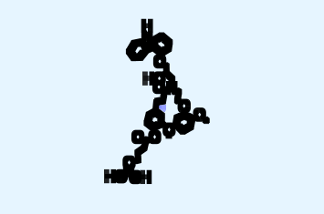 COc1ccccc1OCCN(CC(O)COc1cccc2[nH]c3ccccc3c12)C(=O)/C=C/c1ccc(OC(=O)CCCON(O)O)c(OC)c1